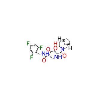 O=C(NCc1c(F)cc(F)cc1F)c1c[nH]c(C(=O)N2CC[C@H]3CC[C@H](C3)C2)c(O)c1=O